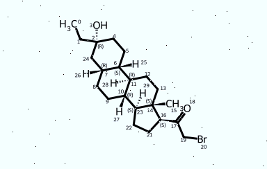 CC[C@@]1(O)CC[C@H]2[C@H](CC[C@@H]3[C@@H]2CC[C@]2(C)[C@@H](C(=O)CBr)CC[C@@H]32)C1